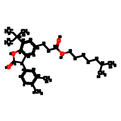 Cc1ccc(C2C(=O)Oc3c2cc(CCC(=O)OCCCCCC(C)C)cc3C(C)(C)C)cc1C